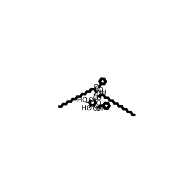 CCCCCCCCCCCCC/C=C/[C@@H](OC(=O)c1ccccc1)[C@H](CO[C@H]1O[C@H](CO)[C@H](O)[C@H](O)[C@H]1OC(=O)c1ccccc1)NC(=O)CCCCCCCCCCCCCCC